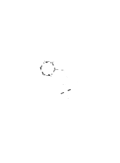 C[C@@H](Cc1ccccc1)NS(N)(=O)=O